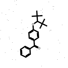 CC(C)(C)C(Oc1ccc(C(=O)c2ccccc2)cc1)C(C)(C)C